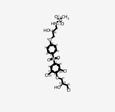 CS(=O)(=O)NC[C@@H](O)COc1ccc(S(=O)(=O)c2cc(Cl)c(OC[C@H](O)CCl)c(Cl)c2)cc1